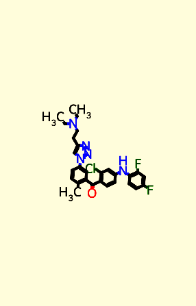 CCN(CC)CCc1cn(-c2ccc(C)c(C(=O)c3ccc(Nc4ccc(F)cc4F)cc3Cl)c2)nn1